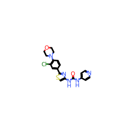 O=C(Nc1ccncc1)Nc1csc(-c2ccc(N3CCOCC3)c(Cl)c2)n1